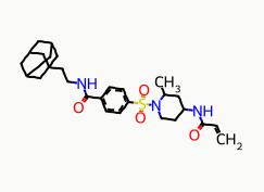 C=CC(=O)NC1CCN(S(=O)(=O)c2ccc(C(=O)NCCC34CC5CC(CC(C5)C3)C4)cc2)C(C)C1